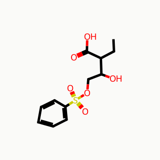 CCC(C(=O)O)C(O)COS(=O)(=O)c1ccccc1